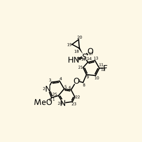 COc1nccc2c(OCc3cc(F)cc([S@](=N)(=O)C4CC4)c3)ccnc12